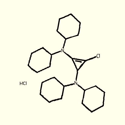 Cl.ClC1=C(N(C2CCCCC2)C2CCCCC2)C1N(C1CCCCC1)C1CCCCC1